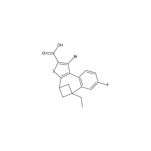 CCC12CC(C1)c1sc(C(=O)O)c(Br)c1-c1ccc(F)cc12